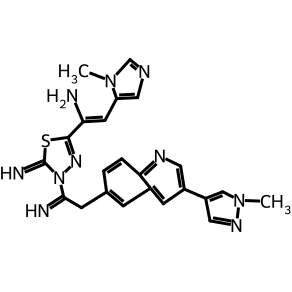 Cn1cc(-c2cnc3ccc(CC(=N)n4nc(/C(N)=C/c5cncn5C)sc4=N)cc3c2)cn1